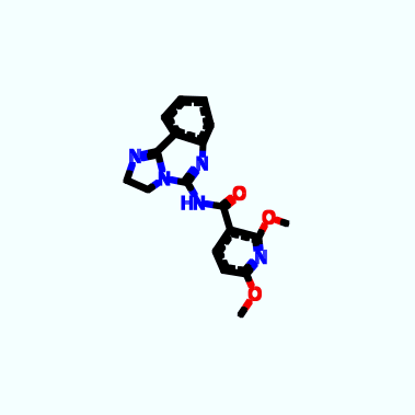 COc1ccc(C(=O)NC2=Nc3ccccc3C3=NCCN23)c(OC)n1